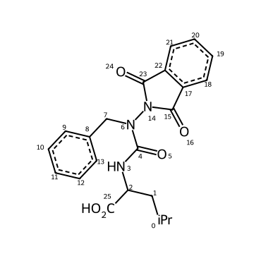 CC(C)CC(NC(=O)N(Cc1ccccc1)N1C(=O)c2ccccc2C1=O)C(=O)O